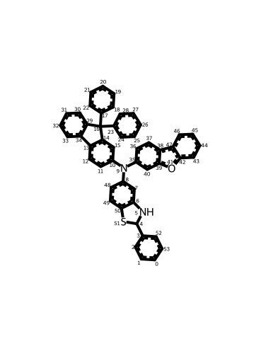 c1ccc(C2Nc3cc(N(c4ccc5c(c4)C(c4ccccc4)(c4ccccc4)c4ccccc4-5)c4ccc5c(c4)oc4ccccc45)ccc3S2)cc1